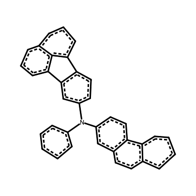 c1ccc(N(c2ccc3c(c2)-c2cccc4cccc-3c24)c2ccc3c(ccc4ccccc43)c2)cc1